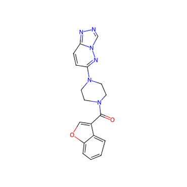 O=C(c1coc2ccccc12)N1CCN(c2ccc3nncn3n2)CC1